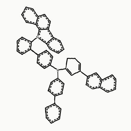 C1=C(c2ccc3ccccc3c2)C=C(N(c2ccc(-c3ccccc3)cc2)c2ccc(-c3ccccc3-n3c4ccccc4c4ccc5ccccc5c43)cc2)CC1